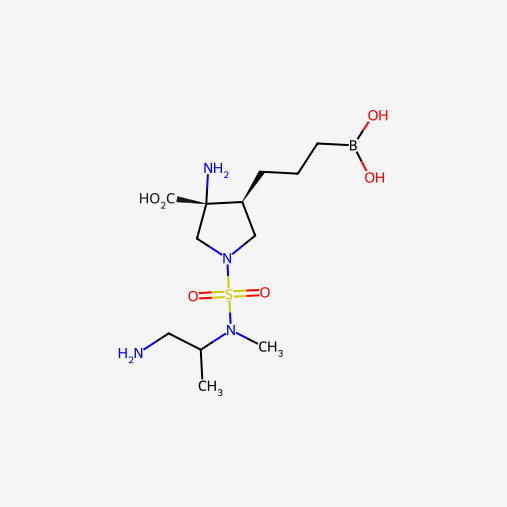 CC(CN)N(C)S(=O)(=O)N1C[C@H](CCCB(O)O)[C@](N)(C(=O)O)C1